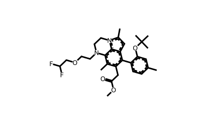 COC(=O)Cc1c(C)c2c3c(cc(C)n3CCN2CCOCC(F)F)c1-c1ccc(C)cc1OC(C)(C)C